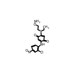 CCN(CCON)C1=CC(=O)C(Nc2ccc(N=O)cc2Cl)=CC1=O